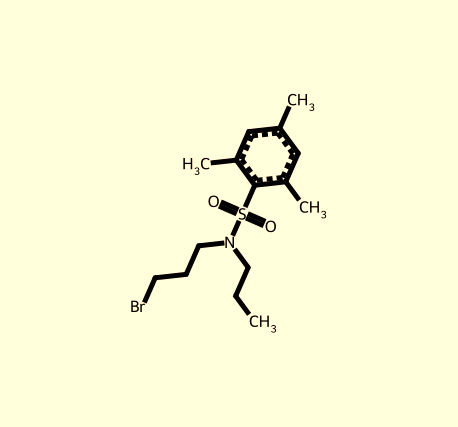 CCCN(CCCBr)S(=O)(=O)c1c(C)cc(C)cc1C